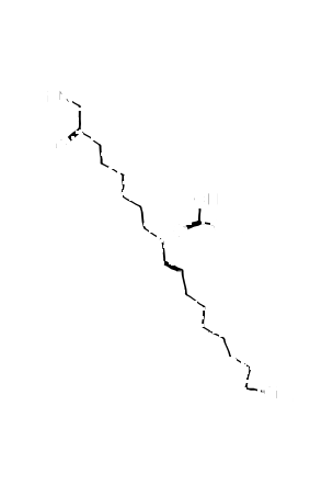 CC(=O)O.CCCCCCCCC=CCCCCCCCC(=O)CN